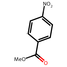 COC(=O)c1[c]cc([N+](=O)[O-])cc1